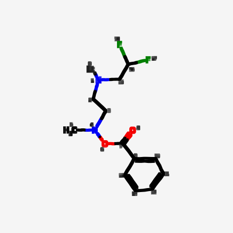 CCN(CCN(C)OC(=O)c1ccccc1)CC(F)F